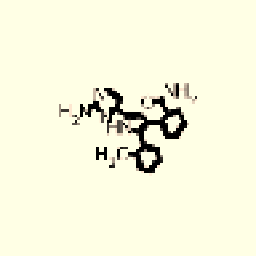 Cc1ccccc1-c1[nH]c(-c2ccnc(N)n2)cc1-c1ccccc1C(N)=O